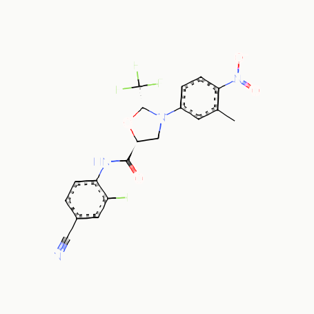 Cc1cc(N2C[C@@H](C(=O)Nc3ccc(C#N)cc3F)O[C@@H]2C(F)(F)F)ccc1[N+](=O)[O-]